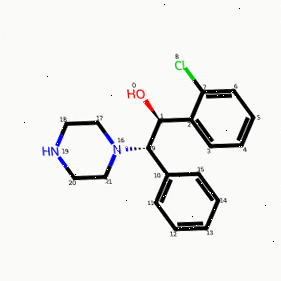 O[C@@H](c1ccccc1Cl)[C@H](c1ccccc1)N1CCNCC1